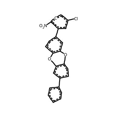 O=[N+]([O-])c1ccc(Cl)cc1-c1ccc2c(c1)Oc1ccc(-c3ccccc3)cc1O2